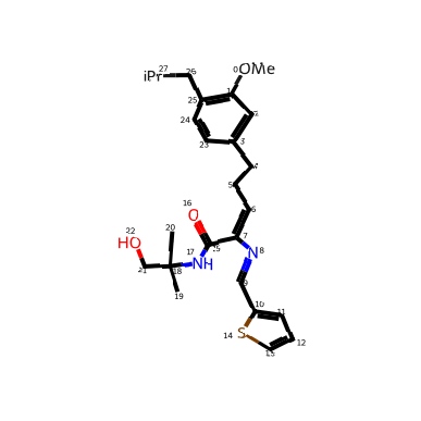 COc1cc(CC/C=C(/N=C/c2cccs2)C(=O)NC(C)(C)CO)ccc1CC(C)C